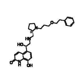 O=c1ccc2c(C(O)CNC[C@@H]3CCCN3CCCOCCc3ccccc3)ccc(O)c2[nH]1